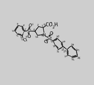 O=C(O)C1CC(S(=O)(=O)c2ccccc2Cl)CN1S(=O)(=O)c1ccc(-c2ccccc2)cc1